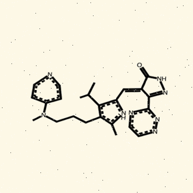 Cc1[nH]c(/C=C2/C(=O)NN=C2c2nccnn2)c(C(C)C)c1CCCN(C)c1ccncc1